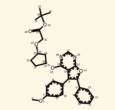 COc1ccc(-c2c(-c3ccccc3)oc3ncnc(O[C@@H]4CC[C@@H](OCC(=O)OC(C)(C)C)C4)c23)cc1